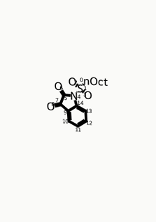 CCCCCCCCS(=O)(=O)N1C(=O)C(=O)c2ccccc21